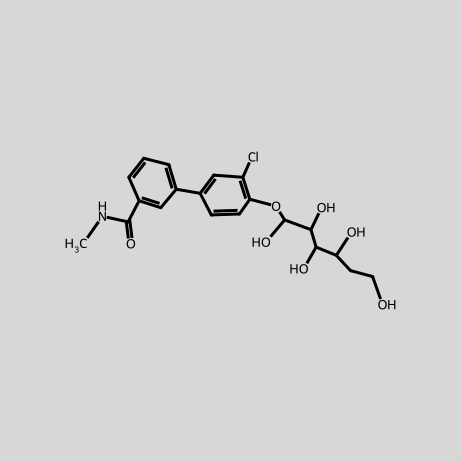 CNC(=O)c1cccc(-c2ccc(OC(O)C(O)C(O)C(O)CCO)c(Cl)c2)c1